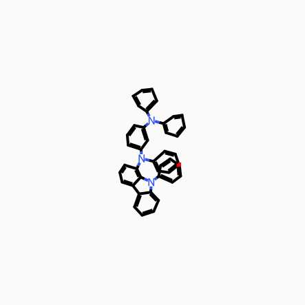 c1ccc(N(c2ccccc2)c2cccc(N(c3ccccc3)c3cccc4c5ccccc5n(-c5ccccc5)c34)c2)cc1